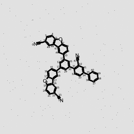 N#Cc1ccc2oc3ccc(-c4cc(-c5ccc6oc7ccc(C#N)cc7c6c5)cc(-c5ccc(-c6ccccc6)cc5C#N)c4)cc3c2c1